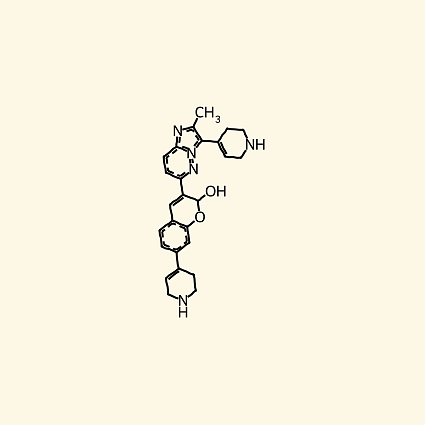 Cc1nc2ccc(C3=Cc4ccc(C5=CCNCC5)cc4OC3O)nn2c1C1=CCNCC1